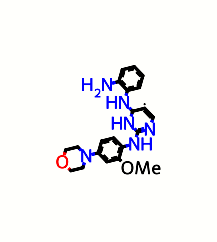 COc1cc(N2CCOCC2)ccc1NC1=NC=[C]C(Nc2ccccc2N)N1